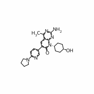 Cc1nc(N)nc2c1cc(-c1ccc(N3CCCC3)nc1)c(=O)n2[C@H]1CC[C@H](O)CC1